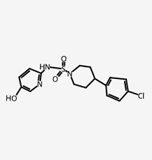 O=S(=O)(Nc1ccc(O)cn1)N1CCC(c2ccc(Cl)cc2)CC1